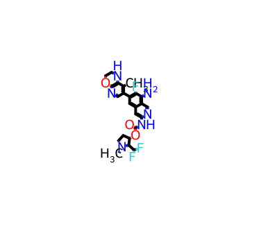 Cc1c(-c2cc3cc(NC(=O)OC4CCN(C)C4C(F)F)ncc3c(N)c2F)cnc2c1NCCO2